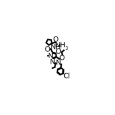 CCc1nc2c(c(OC(C)C)c(C(=O)NC3(C(N)=O)CCCC3)n2C)c(=O)n1Cc1cccc(Cl)c1